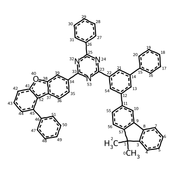 CC1(C)c2ccccc2-c2cc(-c3cc(-c4ccccc4)cc(-c4nc(-c5ccccc5)nc(-c5ccc6c(c5)oc5cccc(-c7ccccc7)c56)n4)c3)ccc21